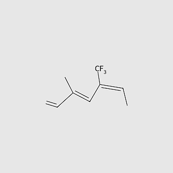 C=C/C(C)=C/C(=C\C)C(F)(F)F